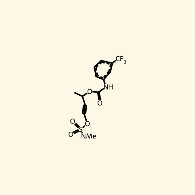 CNS(=O)(=O)OC#CC(C)OC(=O)Nc1cccc(C(F)(F)F)c1